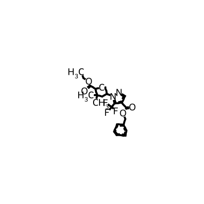 CCOC(=O)C1CCC(n2ncc(C(=O)OCc3ccccc3)c2C(F)(F)F)CC1(C)C